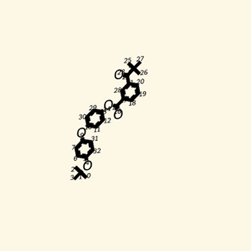 CC(C)(C)Oc1ccc(Oc2ccc(OC(=O)c3cccc(C(=O)C(C)(C)C)c3)cc2)cc1